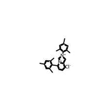 Cc1cc(C)c(-c2cccc3c[n+](-c4c(C)cc(C)cc4C)cn23)c(C)c1.[Cl-]